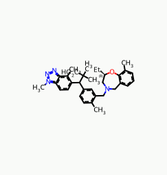 CC[C@@H]1CN(Cc2cc(C(c3ccc4c(nnn4C)c3C)C(C)(C)C(=O)O)ccc2C)Cc2cccc(C)c2O1